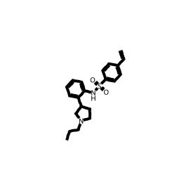 C=Cc1ccc(S(=O)(=O)Nc2ccccc2C2CCN(CCC)C2)cc1